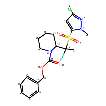 Cn1nc(Cl)cc1S(=O)(=O)C(C)(F)C1CCCCN1C(=O)OCc1ccccc1